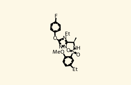 CCc1ccc(OC)c(S(=O)(=O)N[C@H](C)c2nnc(Oc3ccc(F)cc3)n2CC)c1